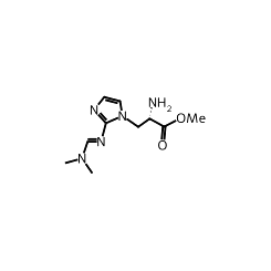 COC(=O)[C@@H](N)Cn1ccnc1N=CN(C)C